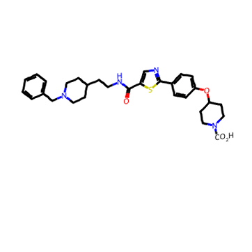 O=C(NCCC1CCN(Cc2ccccc2)CC1)c1cnc(-c2ccc(OC3CCN(C(=O)O)CC3)cc2)s1